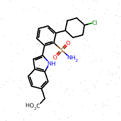 NS(=O)(=O)c1c(-c2cc3ccc(CC(=O)O)cc3[nH]2)cccc1C1CCC(Cl)CC1